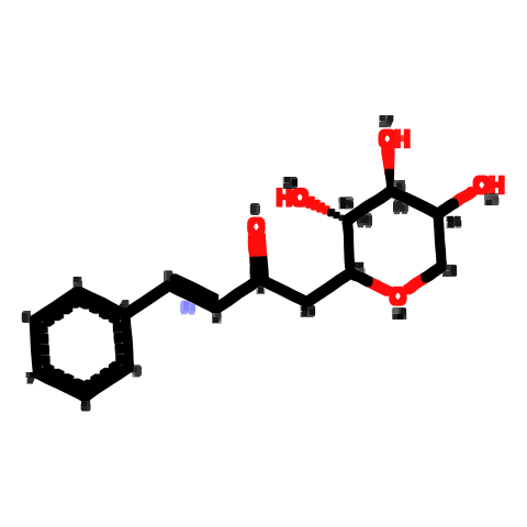 O=C(/C=C/c1ccccc1)CC1OCC(O)[C@H](O)[C@H]1O